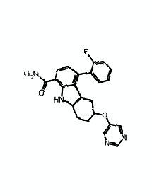 NC(=O)c1ccc(-c2ccccc2F)c2c1NC1CCC(Oc3cncnc3)CC21